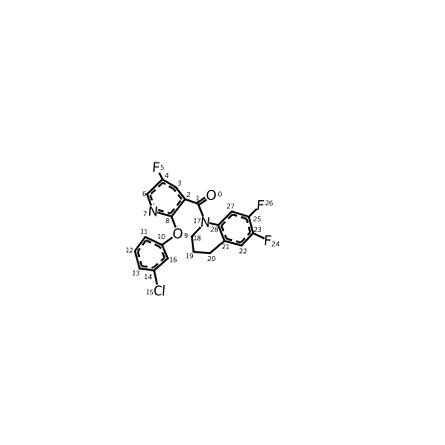 O=C(c1cc(F)cnc1Oc1cccc(Cl)c1)N1CCCc2cc(F)c(F)cc21